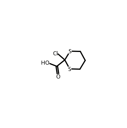 O=C(O)C1(Cl)SCCCS1